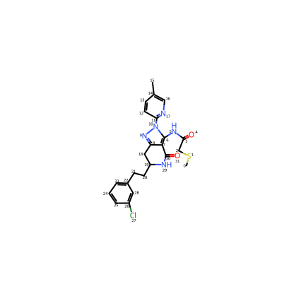 CSCC(=O)Nc1c2c(nn1-c1ccc(C)cn1)CC(CCc1cccc(Cl)c1)NC2=O